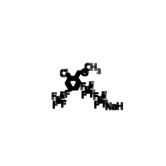 COCc1ccc(F)cc1Cl.F[B-](F)(F)F.F[B-](F)(F)F.F[B-](F)(F)F.[NaH]